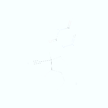 C#CC1(F)C(O)[C@@H]([C@H](C)O)O[C@H]1n1ncc(=O)[nH]c1=O